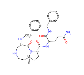 NC(=O)CCC(NC(=O)[C@@H]1CC[C@@H]2CCNC[C@H](NC(=O)O)C(=O)N21)C(=O)NC(c1ccccc1)c1ccccc1